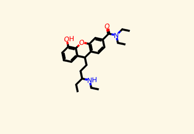 CCNC(CC)CCC1c2ccc(C(=O)N(CC)CC)cc2Oc2c(O)cccc21